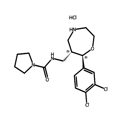 Cl.O=C(NC[C@@H]1CNCCO[C@H]1c1ccc(Cl)c(Cl)c1)N1CCCC1